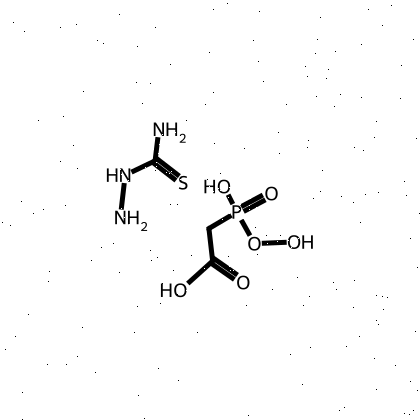 NNC(N)=S.O=C(O)CP(=O)(O)OO